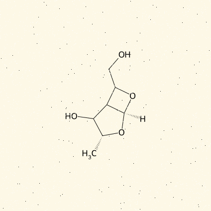 C[C@H]1O[C@@H]2OC(CO)C2C1O